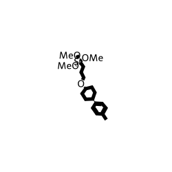 CO[Si](CCCO[C@H]1CC[C@H](c2ccc(C)cc2)CC1)(OC)OC